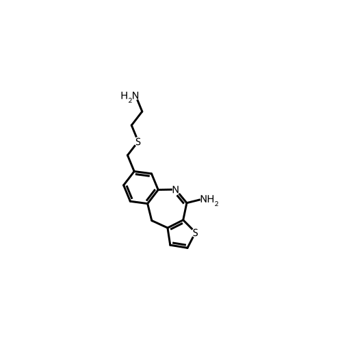 NCCSCc1ccc2c(c1)N=C(N)c1sccc1C2